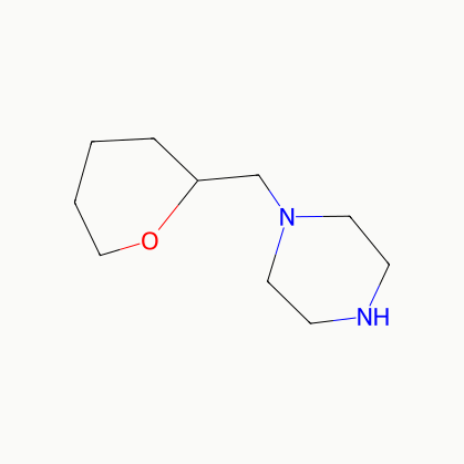 C1CCC(CN2CCNCC2)OC1